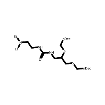 CCCCCCCCCCCSCC(CNC(=O)NCCN(CC)CC)SCCCCCCCCCCC